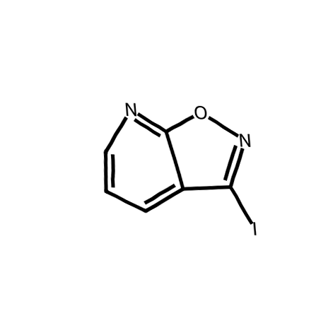 Ic1noc2ncccc12